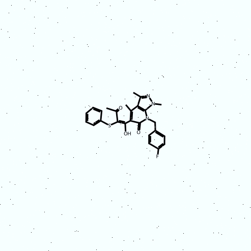 CC(=O)/C(Sc1ccccc1)=C(/O)c1c(C)c2c(C)nn(C)c2n(Cc2ccc(F)cc2)c1=O